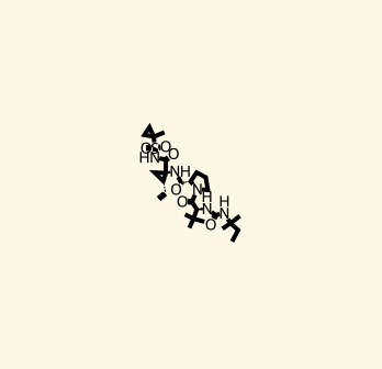 C=C[C@@H]1C[C@]1(NC(=O)[C@@H]1CCCN1C(=O)[C@@H](NC(=O)NC(C)(C)CC)C(C)(C)C)C(=O)NS(=O)(=O)C1(C)CC1